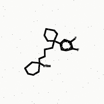 CCCCCCC1(CCCCC2(c3ccc(F)c(F)c3)CCCCC2)CCCCC1